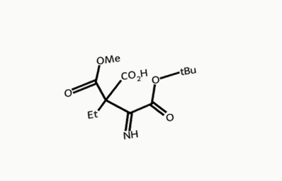 CCC(C(=N)C(=O)OC(C)(C)C)(C(=O)O)C(=O)OC